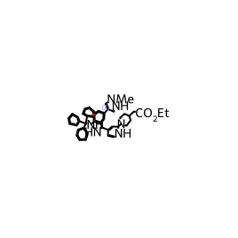 CCOC(=O)CC1CCN(C2C=C(C(=N)c3cc(/C(C=N)=C/NC)ccc3NC(c3ccccc3)(c3ccccc3)c3ccccc3)C=CN2)CC1